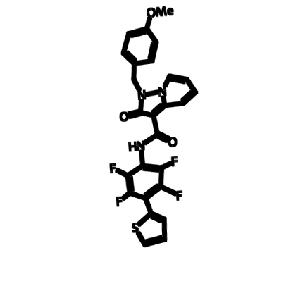 COc1ccc(Cn2c(=O)c(C(=O)Nc3c(F)c(F)c(-c4cccs4)c(F)c3F)c3ccccn32)cc1